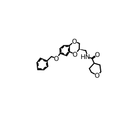 O=C(NC[C@@H]1COc2ccc(OCc3ccccc3)cc2O1)C1CCOCC1